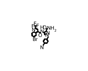 N#Cc1ccc(Cn2cc(NC(=O)c3cc(C(F)(F)F)nc4ccc(Br)cc34)c(C(N)=O)n2)cc1